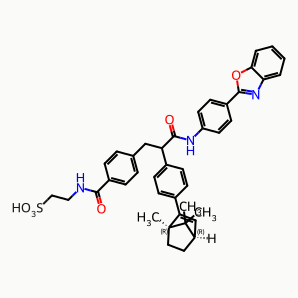 CC1(C)[C@H]2C=C(c3ccc(C(Cc4ccc(C(=O)NCCS(=O)(=O)O)cc4)C(=O)Nc4ccc(-c5nc6ccccc6o5)cc4)cc3)[C@]1(C)CC2